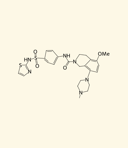 COc1ccc(N2CCN(C)CC2)c2c1CCN(C(=O)Nc1ccc(S(=O)(=O)Nc3nccs3)cc1)C2